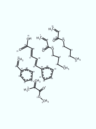 C=C(C)C(=O)OC.C=CC(=O)OCCCC.C=CC(=O)OCCCC.C=Cc1ccccc1.O=C(O)C=CC=Cc1ccccc1